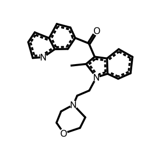 Cc1c(C(=O)c2ccc3cccnc3c2)c2ccccc2n1CCN1CCOCC1